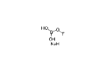 OB(O)OF.[NaH]